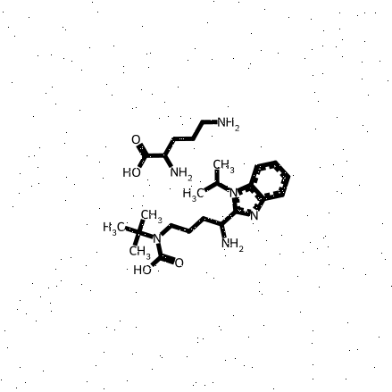 CC(C)n1c(C(N)CCCN(C(=O)O)C(C)(C)C)nc2ccccc21.NCCCC(N)C(=O)O